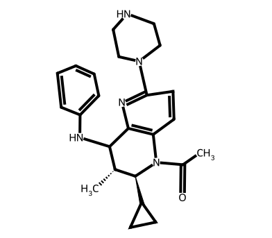 CC(=O)N1c2ccc(N3CCNCC3)nc2C(Nc2ccccc2)[C@@H](C)[C@@H]1C1CC1